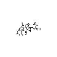 Cc1cccc(C)c1N1CC(CN(C)C)(C(=O)Nc2cc(C#N)cc(C(F)(F)F)c2)C(C)C1=O